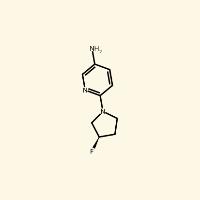 Nc1ccc(N2CC[C@@H](F)C2)nc1